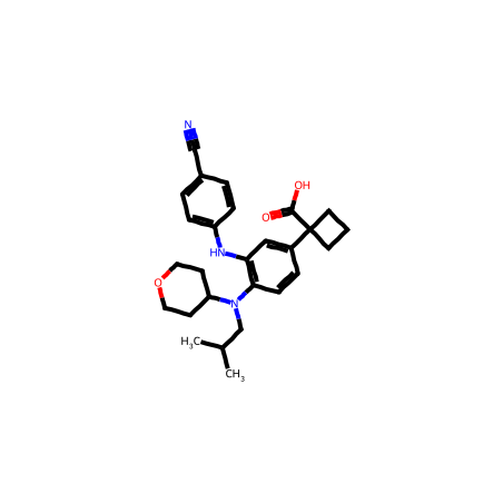 CC(C)CN(c1ccc(C2(C(=O)O)CCC2)cc1Nc1ccc(C#N)cc1)C1CCOCC1